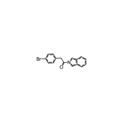 O=C(Cc1ccc(Br)cc1)n1cc2ccccc2c1